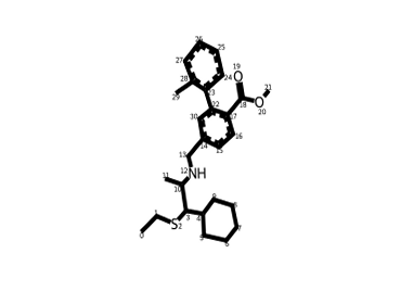 CCSC(C1CCCCC1)C(C)NCc1ccc(C(=O)OC)c(-c2ccccc2C)c1